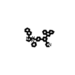 c1ccc(-n2c(-c3ccc(-c4cc(-c5cccnc5)cc(-c5cc6ccccc6c6ccccc56)c4)cc3)nc3c(-c4ccc5ccccc5c4)nccc32)cc1